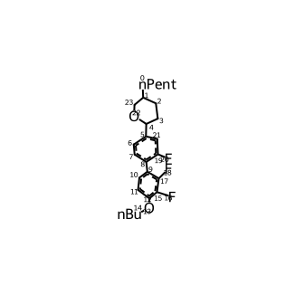 CCCCCC1CCC(c2ccc(-c3ccc(OCCCC)c(F)c3F)c(F)c2)OC1